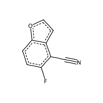 N#Cc1c(F)ccc2occc12